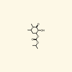 CC(C)OC(=O)OC1CC(C)N(C)C(=O)N1O